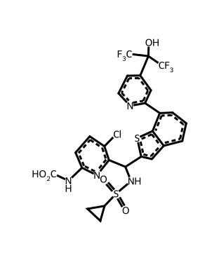 O=C(O)Nc1ccc(Cl)c(C(NS(=O)(=O)C2CC2)c2cc3cccc(-c4cc(C(O)(C(F)(F)F)C(F)(F)F)ccn4)c3s2)n1